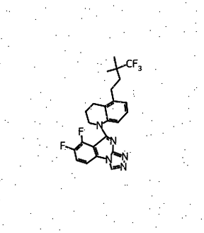 CC(C)(CCc1cccc2c1CCCN2c1nc2nncn2c2ccc(F)c(F)c12)C(F)(F)F